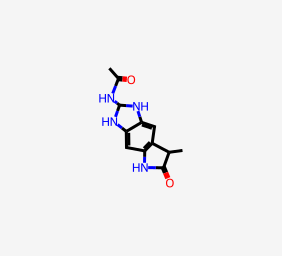 CC(=O)NC1Nc2cc3c(cc2N1)C(C)C(=O)N3